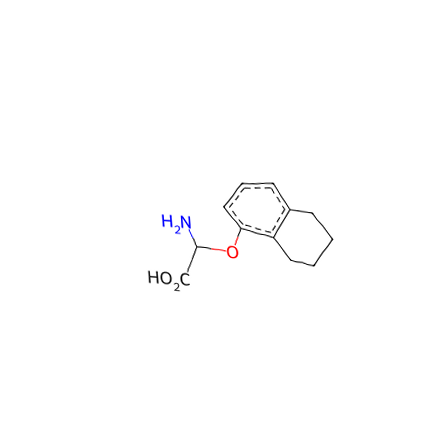 NC(Oc1cccc2c1CCCC2)C(=O)O